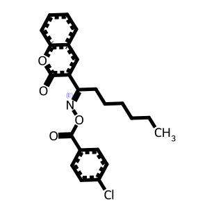 CCCCCC/C(=N\OC(=O)c1ccc(Cl)cc1)c1cc2ccccc2oc1=O